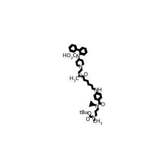 CN(CCN1CCC(N(C(=O)O)c2ccccc2-c2ccccc2)CC1)C(=O)CCCCCNc1ccc(C(=O)N(CCCN(C)C(=O)OC(C)(C)C)C2CC2)cc1